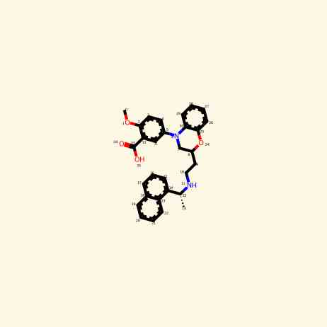 COc1ccc(N2CC(CCN[C@H](C)c3cccc4ccccc34)Oc3ccccc32)cc1C(=O)O